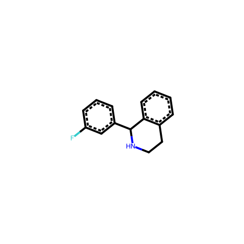 Fc1cccc(C2NCCc3ccccc32)c1